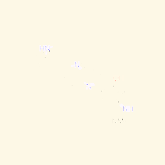 CN/C=C1/C=C(c2ccc3nc(C4CCNC5(CC5)C4)ccc3n2)C(O)=CC1=N